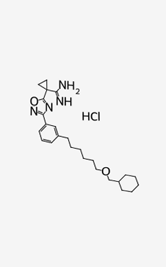 Cl.N=C(N)C1(c2nc(-c3cccc(CCCCCCOCC4CCCCC4)c3)no2)CC1